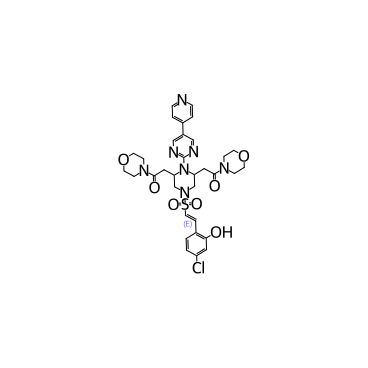 O=C(CC1CN(S(=O)(=O)/C=C/c2ccc(Cl)cc2O)CC(CC(=O)N2CCOCC2)N1c1ncc(-c2ccncc2)cn1)N1CCOCC1